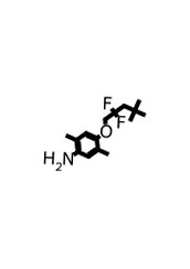 Cc1cc(OCC(F)(F)CC(C)(C)C)c(C)cc1N